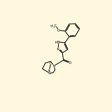 COc1ccccc1-c1cc(C(=O)N2CCN3CCC2CC3)n[nH]1